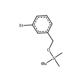 [CH2]Cc1cccc(CO[Si](C)(C)C(C)(C)C)c1